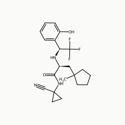 CC1(C[C@H](N[C@@H](c2ccccc2O)C(F)(F)F)C(=O)NC2(C#N)CC2)CCCC1